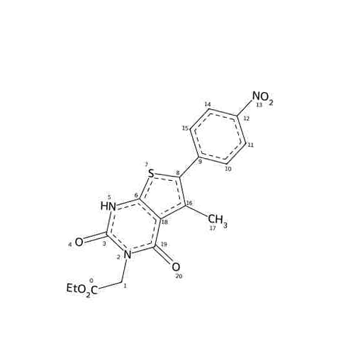 CCOC(=O)Cn1c(=O)[nH]c2sc(-c3ccc([N+](=O)[O-])cc3)c(C)c2c1=O